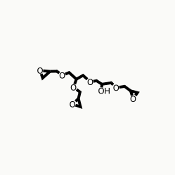 OC(COCC(COCC1CO1)OCC1CO1)COCC1CO1